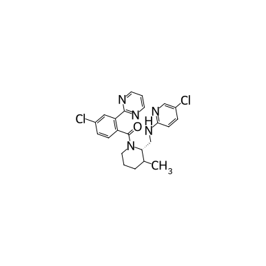 CC1CCCN(C(=O)c2ccc(Cl)cc2-c2ncccn2)[C@@H]1CNc1ccc(Cl)cn1